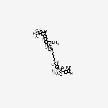 CC[C@@]1(O)C(=O)OCc2c1cc1n(c2=O)Cc2cc3c(CN(C)C)c(OC(=O)N4CCN(CCCCCCNC(=O)c5ccc(N6C(=O)N(c7ccc(C#N)c(C(F)(F)F)c7)C(=O)C6(C)C)cc5F)CC4)ccc3nc2-1